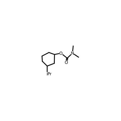 CC(C)C1CCCC(OC(=O)N(C)C)C1